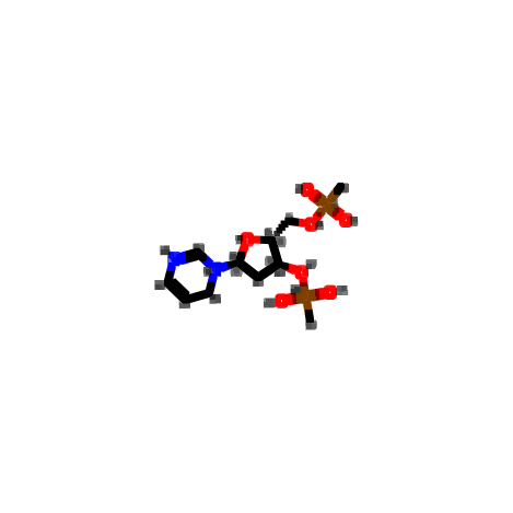 CS(=O)(=O)OC[C@H]1O[C@H](N2C=NC=CC2)C[C@@H]1OS(C)(=O)=O